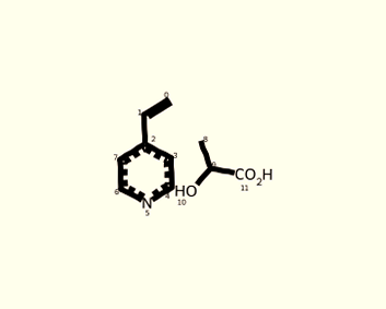 C=Cc1ccncc1.CC(O)C(=O)O